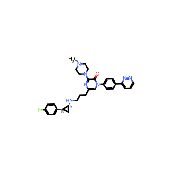 CN1CCN(c2nc(CCCN[C@@H]3C[C@H]3c3ccc(F)cc3)cn(-c3ccc(-c4cccnn4)cc3)c2=O)CC1